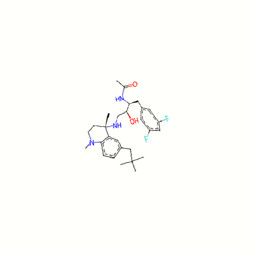 CC(=O)N[C@@H](Cc1cc(F)cc(F)c1)[C@@H](O)CN[C@@]1(C)CCN(C)c2ccc(CC(C)(C)C)cc21